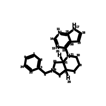 c1ccc(CN2C[C@H]3CCCN(c4ncnc5[nH]ccc45)[C@H]3C2)cc1